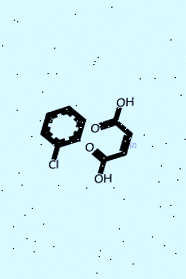 Clc1ccccc1.O=C(O)/C=C\C(=O)O